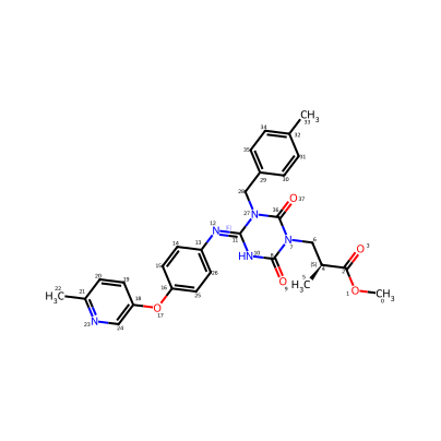 COC(=O)[C@@H](C)Cn1c(=O)[nH]/c(=N\c2ccc(Oc3ccc(C)nc3)cc2)n(Cc2ccc(C)cc2)c1=O